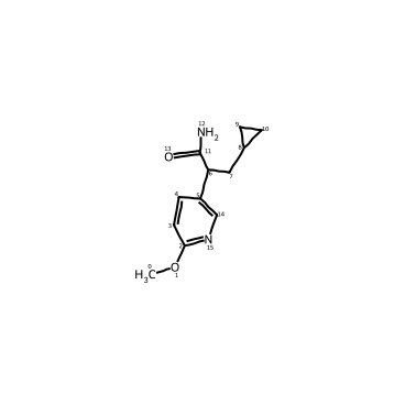 COc1ccc(C(CC2CC2)C(N)=O)cn1